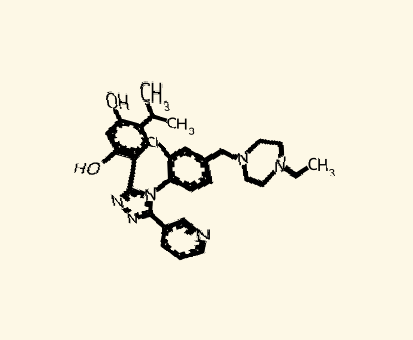 CCN1CCN(Cc2ccc(-n3c(-c4cccnc4)nnc3-c3cc(C(C)C)c(O)cc3O)c(Cl)c2)CC1